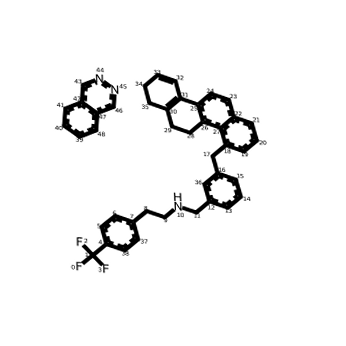 FC(F)(F)c1ccc(CCNCc2cccc(Cc3cccc4ccc5c(c34)CCC3=C5C=CCC3)c2)cc1.c1ccc2cnncc2c1